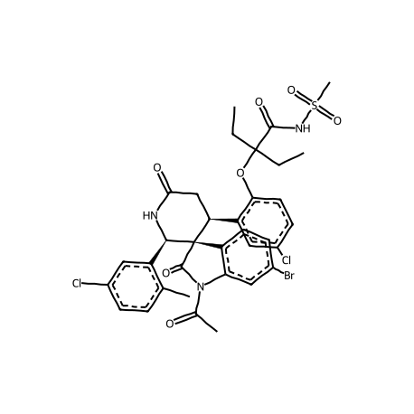 CCC(CC)(Oc1ccc(Cl)cc1[C@@H]1CC(=O)N[C@H](c2cc(Cl)ccc2C)[C@@]12C(=O)N(C(C)=O)c1cc(Br)ccc12)C(=O)NS(C)(=O)=O